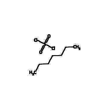 CCCCCCC.O=S(=O)(Cl)Cl